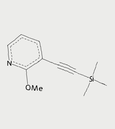 COc1ncccc1C#C[Si](C)(C)C